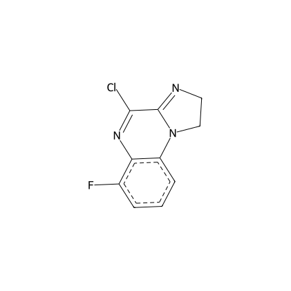 Fc1cccc2c1N=C(Cl)C1=NCCN12